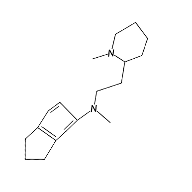 CN(CCC1CCCCN1C)c1ccc2c(c1)CCC2